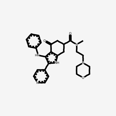 CN(CCN1CCOCC1)C(=O)C1CC(=O)c2c([nH]c(-c3ccncc3)c2Nc2ccccc2)C1